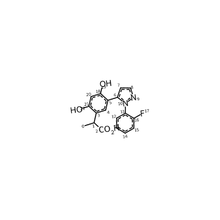 CC(C(=O)O)c1cc(-c2ccnn2-c2ccccc2F)c(O)cc1O